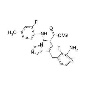 COC(=O)C1C=C(Cc2ccnc(N)c2F)c2cncn2C1Nc1ccc(C)cc1F